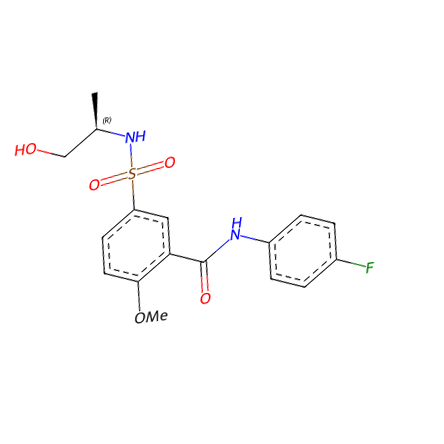 COc1ccc(S(=O)(=O)N[C@H](C)CO)cc1C(=O)Nc1ccc(F)cc1